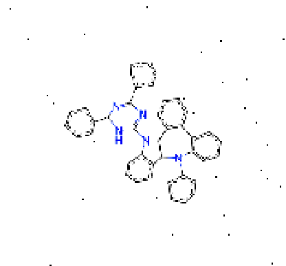 c1ccc(C2=NC(c3ccccc3)NC(N3c4ccccc4C4C3c3ccccc3-c3ccccc3N4c3ccccc3)=N2)cc1